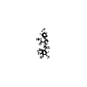 COc1ccc(-c2csc(NC(=O)c3cc(Br)c(Br)c(OC)c3Br)c2C(=O)O)cc1